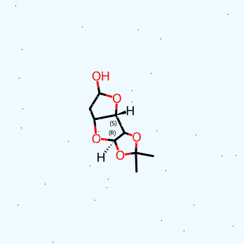 CC1(C)OC2[C@H](OC3CC(O)O[C@@H]32)O1